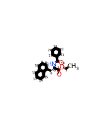 CCOC(=O)[C@H](Cc1cccc2ccccc12)NC(=O)c1ccccc1